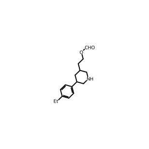 CCc1ccc(C2CNCC(CCOC=O)C2)cc1